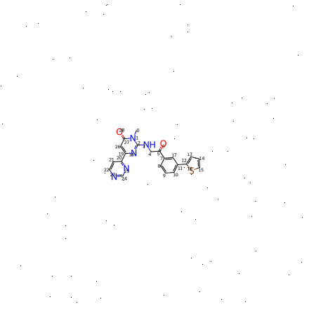 Cn1c(NCC(=O)c2cccc(-c3cccs3)c2)nc(-c2ccncn2)cc1=O